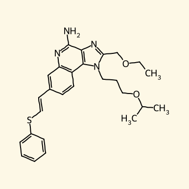 CCOCc1nc2c(N)nc3cc(/C=C/Sc4ccccc4)ccc3c2n1CCCOC(C)C